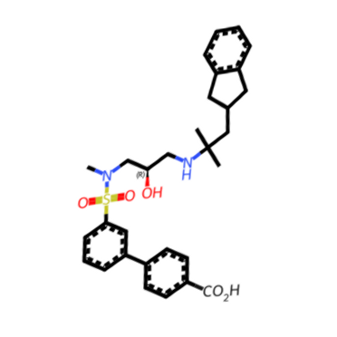 CN(C[C@H](O)CNC(C)(C)CC1Cc2ccccc2C1)S(=O)(=O)c1cccc(-c2ccc(C(=O)O)cc2)c1